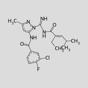 CC/C(=C\C(C)C)C(=O)NC(=N)n1nc(C)cc1NC(=O)c1ccc(F)c(Cl)c1